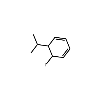 CC(C)C1C=CC=CC1I